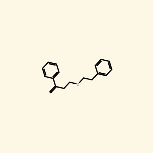 C=C(CCOCCc1ccccc1)c1ccccc1